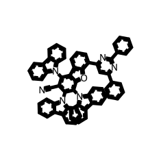 N#Cc1c(-n2c3ccccc3c3ccccc32)c(-n2c3ccccc3c3ccccc32)c2oc3c(-c4cc(-c5ccccc5)nc(-c5ccccc5)n4)cccc3c2c1-n1c2ccccc2c2ccccc21